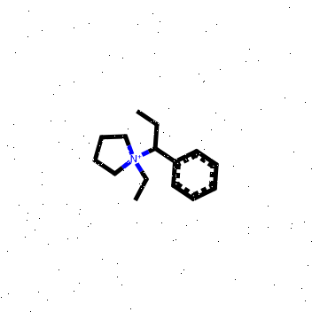 CCC(c1ccccc1)[N+]1(CC)CCCC1